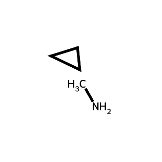 C1CC1.CN